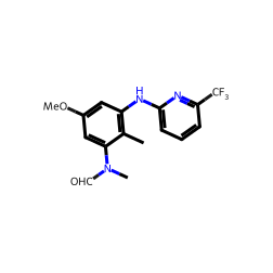 COc1cc(Nc2cccc(C(F)(F)F)n2)c(C)c(N(C)C=O)c1